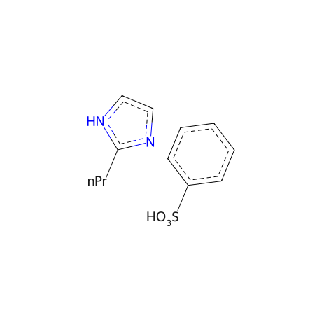 CCCc1ncc[nH]1.O=S(=O)(O)c1ccccc1